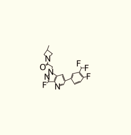 CC1CN(C(=O)Cn2nc(F)c3ncc(-c4ccc(F)c(C(F)F)c4)cc32)C1